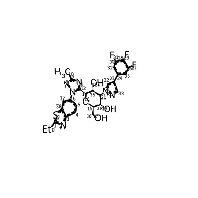 CCc1nc2ccc(-n3nc(C)nc3[C@@H]3O[C@H](CO)[C@H](O)[C@H](n4cc(-c5cc(F)c(F)c(F)c5)cn4)[C@H]3O)cc2s1